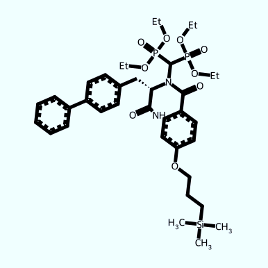 CCOP(=O)(OCC)C(N(C(=O)c1ccc(OCCC[Si](C)(C)C)cc1)[C@@H](Cc1ccc(-c2ccccc2)cc1)C(N)=O)P(=O)(OCC)OCC